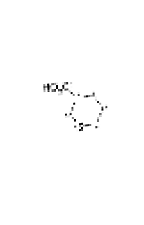 O=C(O)C1CCCSC1